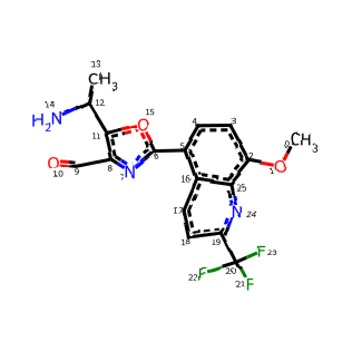 COc1ccc(-c2nc(C=O)c(C(C)N)o2)c2ccc(C(F)(F)F)nc12